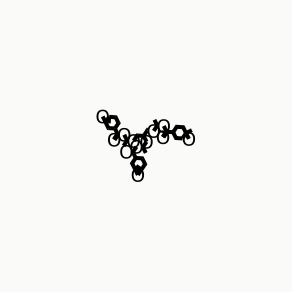 CC(OCC(COC(C)OC(=O)C1CCC2(C)OC2C1)OC(C)OC(=O)C1CCC2(C)OC2C1)OC(=O)C1CCC2(C)OC2C1